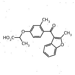 Cc1cc(OC(C)C(=O)O)ccc1C(=O)c1c(C)oc2ccccc12